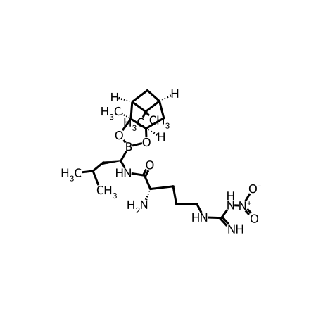 CC(C)C[C@H](NC(=O)[C@@H](N)CCCNC(=N)N[N+](=O)[O-])B1O[C@@H]2C[C@@H]3C[C@@H](C3(C)C)[C@]2(C)O1